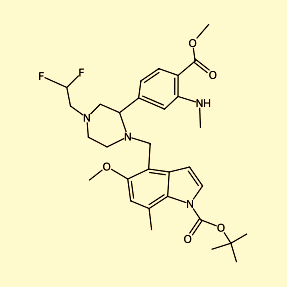 CNc1cc(C2CN(CC(F)F)CCN2Cc2c(OC)cc(C)c3c2ccn3C(=O)OC(C)(C)C)ccc1C(=O)OC